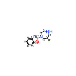 FC1CNCCN(c2nc3ccccc3o2)C1